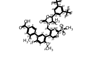 COc1cc(F)c(-c2ccc(C(=O)O)cc2C)cc1-c1cnc(S(C)(=O)=O)nc1CN1C(=O)OC(c2cc(C(F)(F)F)cc(C(F)(F)F)c2)C1C